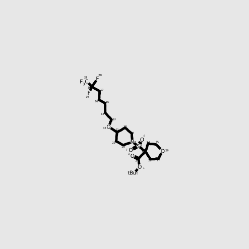 CC(C)(C)OC(=O)C1(S(=O)(=O)N2CCC(OCCCCCC(F)(F)C(F)(F)F)CC2)CCOCC1